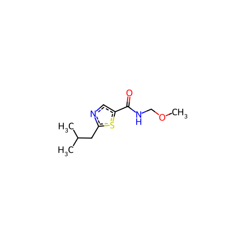 COCNC(=O)c1cnc(CC(C)C)s1